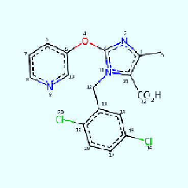 Cc1nc(Oc2cccnc2)n(Cc2cc(Cl)ccc2Cl)c1C(=O)O